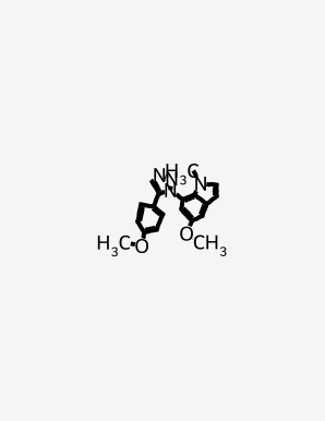 COc1ccc(-c2cnnn2-c2cc(OC)cc3ccn(C)c23)cc1